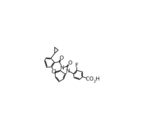 O=C(O)c1ccc(-n2c(=O)n(C(=O)c3c(Cl)cccc3C3CC3)c3ccccc32)c(F)c1